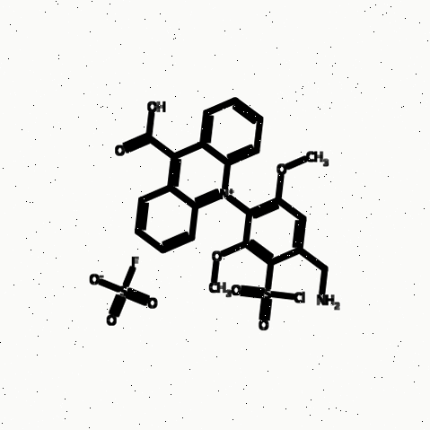 COc1cc(CN)c(S(=O)(=O)Cl)c(OC)c1-[n+]1c2ccccc2c(C(=O)O)c2ccccc21.O=S(=O)([O-])F